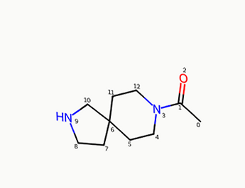 CC(=O)N1CCC2(CCNC2)CC1